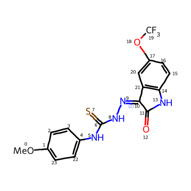 COc1ccc(NC(=S)N/N=C2\C(=O)Nc3ccc(OC(F)(F)F)cc32)cc1